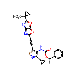 CC(OC(=O)Nc1c(C2CC2)nsc1C#Cc1nc2nc(C3(C(=O)O)CC3)oc2o1)c1ccccc1